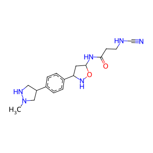 CN1CC(c2ccc(C3CC(NC(=O)CCNC#N)ON3)cc2)CN1